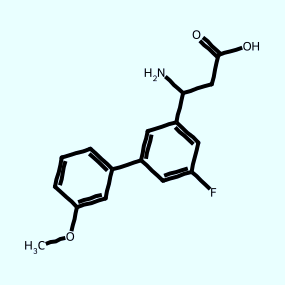 COc1cccc(-c2cc(F)cc(C(N)CC(=O)O)c2)c1